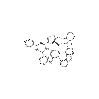 C1=CC2C3C=CC=C[C@H]3N(c3ccc4oc5cccc(-c6cccc7c6oc6cccc(C8NC(C9=CCCC=C9)=NC(c9ccccc9)N8)c67)c5c4c3)C2C=C1